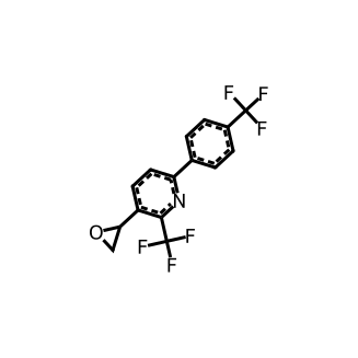 FC(F)(F)c1ccc(-c2ccc(C3CO3)c(C(F)(F)F)n2)cc1